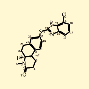 CN1C(=O)CC[C@]2(C)c3ccc(Sc4nc5cccc(Cl)c5s4)cc3CC[C@@H]12